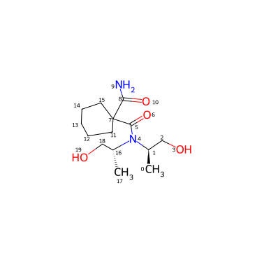 C[C@H](CO)N(C(=O)C1(C(N)=O)CCCCC1)[C@H](C)CO